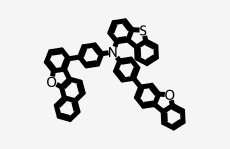 c1ccc2c(c1)ccc1c2oc2cccc(-c3ccc(N(c4ccc(-c5ccc6c(c5)oc5ccccc56)cc4)c4cccc5sc6ccccc6c45)cc3)c21